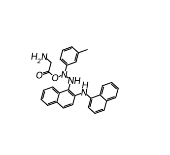 Cc1cccc(N(Nc2c(Nc3cccc4ccccc34)ccc3ccccc23)OC(=O)CN)c1